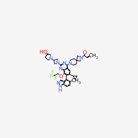 C=CC(=O)N1CC2(CCN(c3nc(N4CC(N5CC[C@H](O)C5)C4)nc4c(OCC(F)(F)F)c(-c5c(C)ccc6[nH]ncc56)c(C5CC5)cc34)CC2)C1